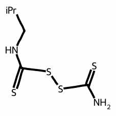 CC(C)CNC(=S)SSC(N)=S